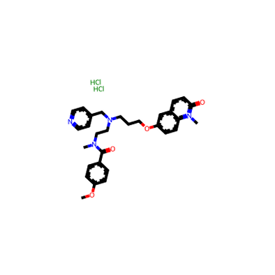 COc1ccc(C(=O)N(C)CCN(CCCOc2ccc3c(ccc(=O)n3C)c2)Cc2ccncc2)cc1.Cl.Cl